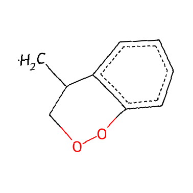 [CH2]C1COOc2ccccc21